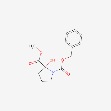 COC(=O)C1(O)CCCN1C(=O)OCc1ccccc1